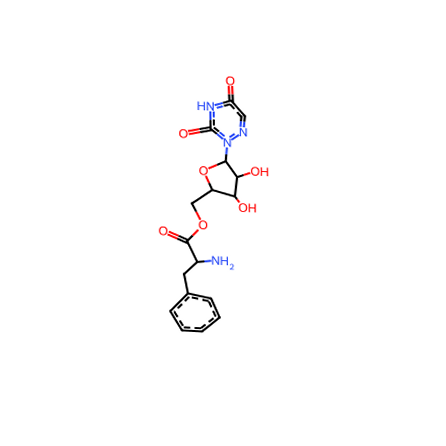 NC(Cc1ccccc1)C(=O)OCC1OC(n2ncc(=O)[nH]c2=O)C(O)C1O